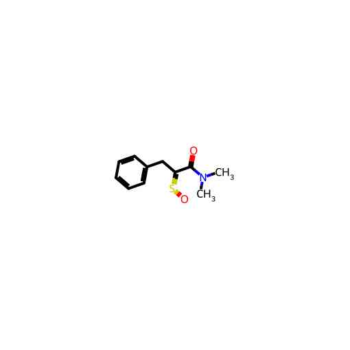 CN(C)C(=O)C(Cc1ccccc1)=S=O